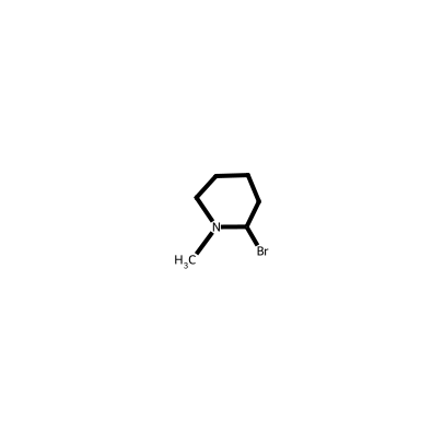 CN1CCCCC1Br